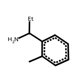 CC[C](N)c1ccccc1C